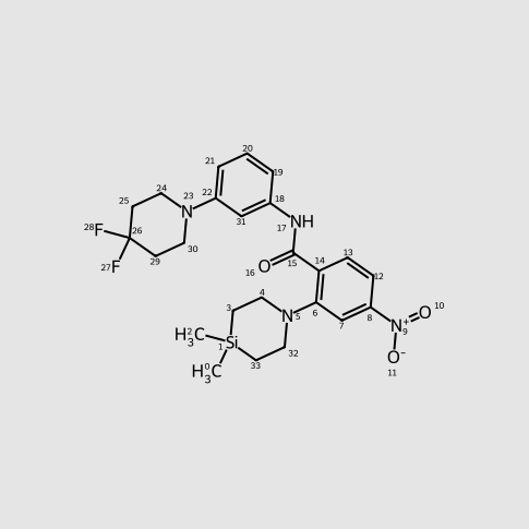 C[Si]1(C)CCN(c2cc([N+](=O)[O-])ccc2C(=O)Nc2cccc(N3CCC(F)(F)CC3)c2)CC1